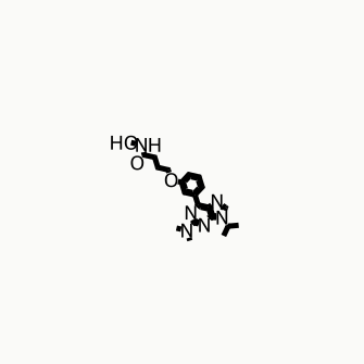 CC(C)n1cnc2c(-c3cccc(OCCCC(=O)NO)c3)nc(N(C)C)nc21